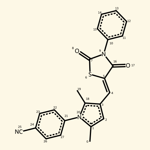 Cc1cc(C=C2SC(=O)N(c3ccccc3)C2=O)c(C)n1-c1ccc(C#N)cc1